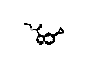 CCOC(=O)c1cnn2ccc(C3CC3)cc12